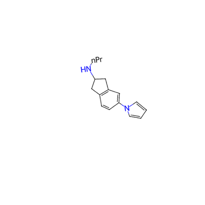 CCCNC1Cc2ccc(-n3cccc3)cc2C1